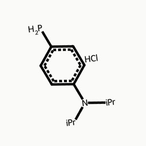 CC(C)N(c1ccc(P)cc1)C(C)C.Cl